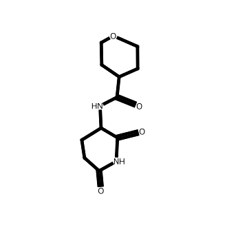 O=C1CCC(NC(=O)C2CCOCC2)C(=O)N1